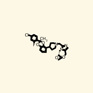 C[C@]1(c2ccc(Cl)cc2F)Oc2cccc(C3CCN(Cc4ncc(CO)n4C[C@@H]4CCO4)CC3)c2O1